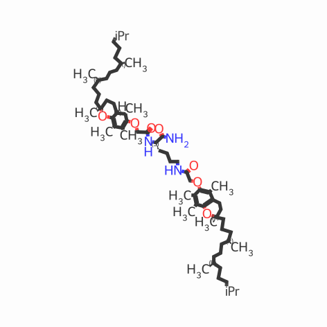 CC1=C(OCC(=O)N[C@@H](CCCCNC(=O)COc2c(C)c(C)c3c(c2C)CC[C@@](C)(CCC[C@H](C)CCC[C@H](C)CCCC(C)C)O3)C(N)=O)C(C)[C@H]2CC[C@@](C)(CCC[C@H](C)CCC[C@H](C)CCCC(C)C)OC2=C1C